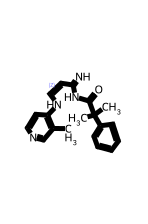 Cc1cnccc1N/C=C\C(=N)NC(=O)C(C)(C)c1ccccc1